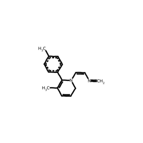 C=N/C=C\N1CC=CC(C)=C1c1ccc(C)cc1